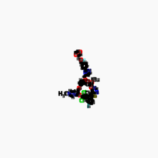 Cc1c(Cl)c2c(Cl)c(C)c1-c1c(-c3ccc(F)cc3)sc3ncnc(c13)O[C@@H](C(=O)OC(C)(C)C)Cc1cc(ccc1OCc1ccnc(C3CCC(F)(COC[C@H]4COCCO4)CC3)n1)OC[C@@H](CN1CCN(C)CC1)O2